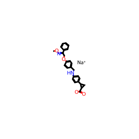 CON=C(COc1ccc(CNc2ccc(C3CC3C(=O)[O-])cc2)cc1)c1ccccc1.[Na+]